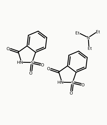 CCN(CC)CC.O=C1NS(=O)(=O)c2ccccc21.O=C1NS(=O)(=O)c2ccccc21